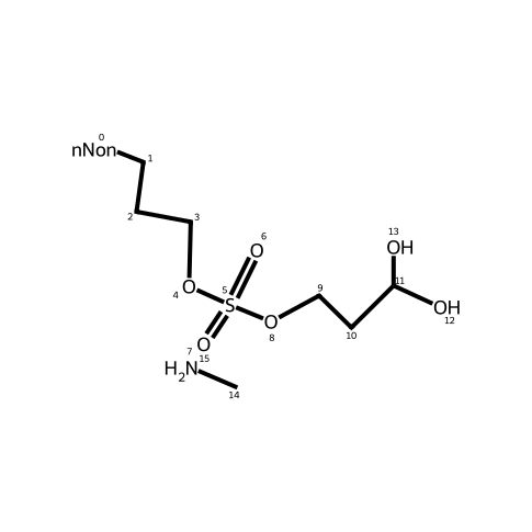 CCCCCCCCCCCCOS(=O)(=O)OCCC(O)O.CN